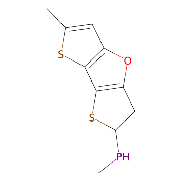 CPC1Cc2oc3cc(C)sc3c2S1